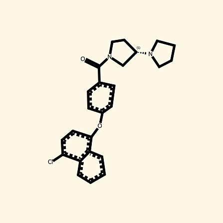 O=C(c1ccc(Oc2ccc(Cl)c3ccccc23)cc1)N1CC[C@H](N2CCCC2)C1